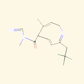 CC1=CC/N=C(CC(F)(F)F)\C=C\C1C(=O)N(C)C=N